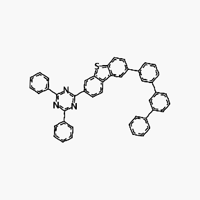 c1ccc(-c2cccc(-c3cccc(-c4ccc5sc6cc(-c7nc(-c8ccccc8)nc(-c8ccccc8)n7)ccc6c5c4)c3)c2)cc1